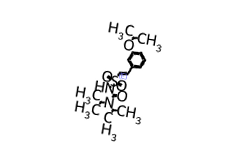 CC(C)Oc1cccc(/C=C/S(=O)(=O)NC(=O)N(C(C)C)C(C)C)c1